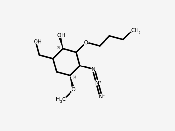 CCCCOC1C(N=[N+]=[N-])[C@@H](OC)CC(CO)[C@H]1O